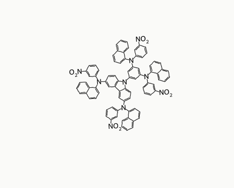 O=[N+]([O-])c1cccc(N(c2cc(N(c3cccc([N+](=O)[O-])c3)c3cccc4ccccc34)cc(-n3c4ccc(N(c5cccc([N+](=O)[O-])c5)c5cccc6ccccc56)cc4c4cc(N(c5cccc([N+](=O)[O-])c5)c5cccc6ccccc56)ccc43)c2)c2cccc3ccccc23)c1